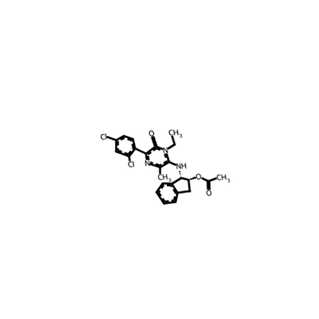 CCn1c(N[C@H]2c3ccccc3C[C@@H]2OC(C)=O)c(C)nc(-c2ccc(Cl)cc2Cl)c1=O